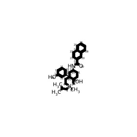 CC(C)C[N@+]1(C)CC[C@]2(c3cccc(O)c3)C[C@H](NC(=O)c3ccc4ccccc4c3)CCC2(O)C1